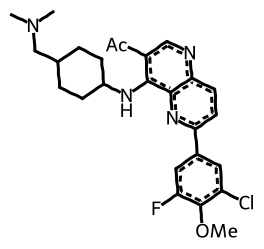 COc1c(F)cc(-c2ccc3ncc(C(C)=O)c(NC4CCC(CN(C)C)CC4)c3n2)cc1Cl